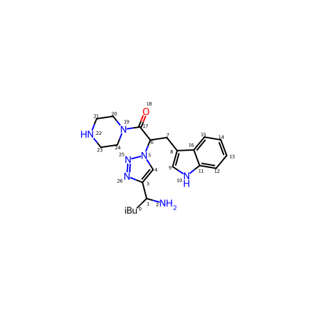 CCC(C)C(N)c1cn(C(Cc2c[nH]c3ccccc23)C(=O)N2CCNCC2)nn1